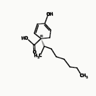 CCCCCCC(C)[C@]1(C(=O)O)C=CC(O)=CC1